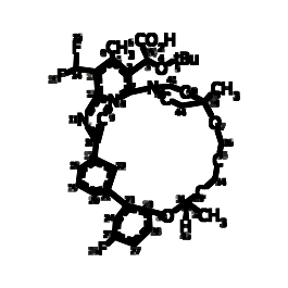 Cc1c([C@H](OC(C)(C)C)C(=O)O)c2n3cc(nc3c1C(F)F)-c1cccc(c1)-c1cc(F)ccc1O[C@@H](C)CCCCOC1(C)CCN2CC1